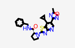 Cc1nc(-c2cnc3nc(N4CCC[C@@H]4C(=O)NCc4ccccc4)sc3c2C2CC2)no1